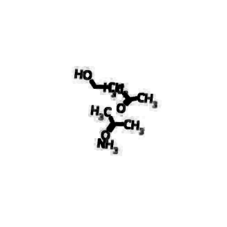 CC(C)=O.CC(C)=O.CCO.N